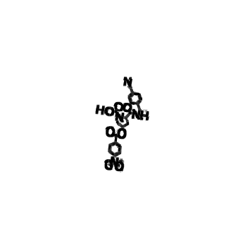 C[C@H](NC(=O)C1CC(OC(=O)c2ccc([N+](=O)[O-])cc2)CN1C(=O)O)c1ccc(C#N)cc1